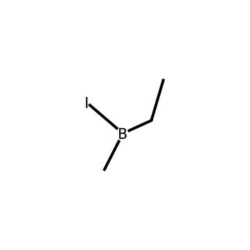 CCB(C)I